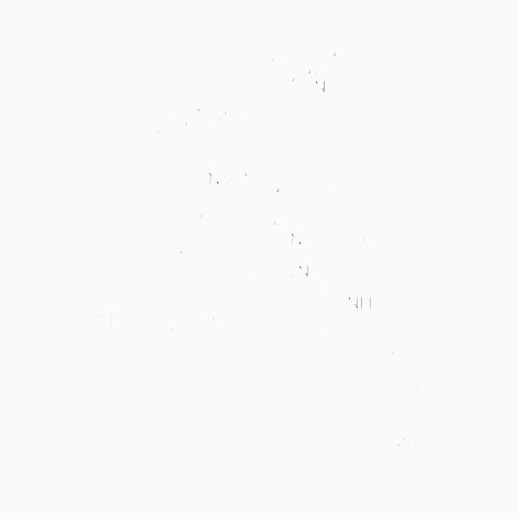 COc1ccc(CNc2nnc(Cc3c4c(c(O[Si](C(C)C)(C(C)C)C(C)C)c5ncc(Cc6ccc(F)cc6)cc35)C(=O)N(C)C4)o2)cc1